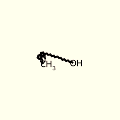 CCOc1cccc2ccc(CCCCCCCCCCCCCCCO)nc12